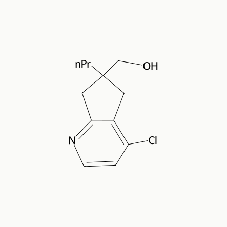 CCCC1(CO)Cc2nccc(Cl)c2C1